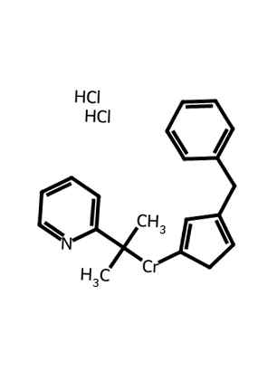 C[C](C)([Cr][C]1=CC(Cc2ccccc2)=CC1)c1ccccn1.Cl.Cl